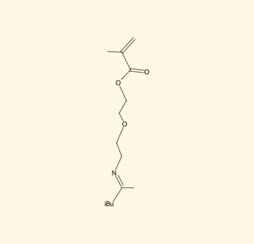 C=C(C)C(=O)OCCOCCN=C(C)C(C)CC